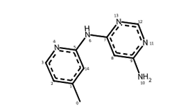 Cc1ccnc(Nc2cc(N)ncn2)c1